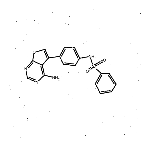 Nc1ncnc2occ(-c3ccc(NS(=O)(=O)c4ccccc4)cc3)c12